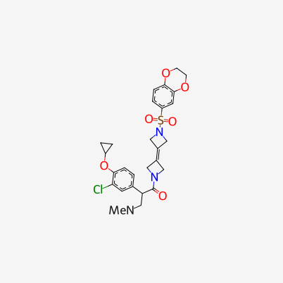 CNCC(C(=O)N1CC(=C2CN(S(=O)(=O)c3ccc4c(c3)OCCO4)C2)C1)c1ccc(OC2CC2)c(Cl)c1